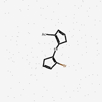 CC(=O)C1=[C]([Fe][C]2=C(Br)C=CC2)CC=C1